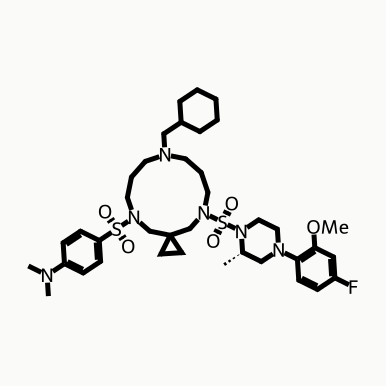 COc1cc(F)ccc1N1CCN(S(=O)(=O)N2CCCN(CC3CCCCC3)CCCN(S(=O)(=O)c3ccc(N(C)C)cc3)CC3(CC3)C2)[C@@H](C)C1